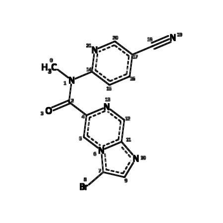 CN(C(=O)c1cn2c(Br)cnc2cn1)c1ccc(C#N)cn1